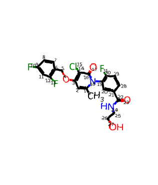 Cc1cc(OCc2ccc(F)cc2F)c(Cl)c(=O)n1-c1cc(C(=O)NCCO)ccc1F